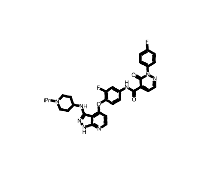 CC(C)N1CCC(Nc2n[nH]c3nccc(Oc4ccc(NC(=O)c5ccnn(-c6ccc(F)cc6)c5=O)cc4F)c23)CC1